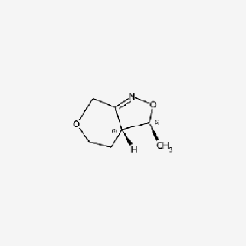 C[C@@H]1ON=C2COCC[C@H]21